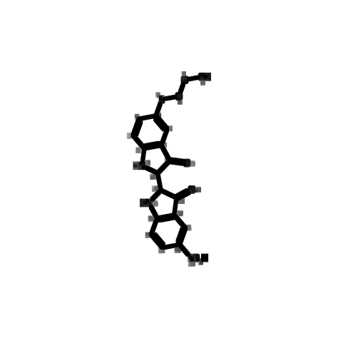 O=C1c2cc(SOOO)ccc2NC1C1Nc2ccc(S(=O)(=O)O)cc2C1=O